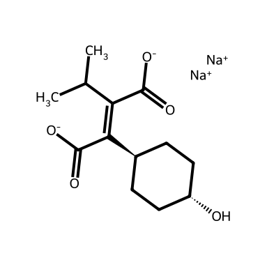 CC(C)C(C(=O)[O-])=C(C(=O)[O-])[C@H]1CC[C@H](O)CC1.[Na+].[Na+]